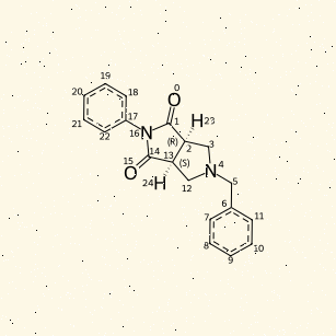 O=C1[C@H]2CN(Cc3ccccc3)C[C@H]2C(=O)N1c1ccccc1